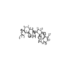 Cc1cc2c(s1)CCC(CNC1CCC(Oc3ccccc3C)C1O)C2=O